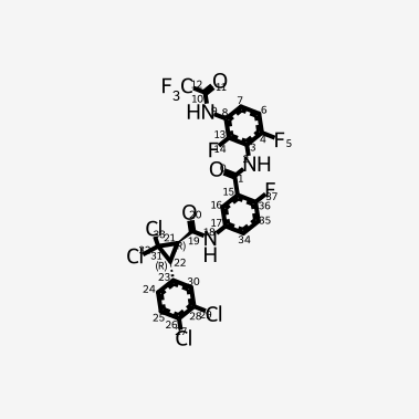 O=C(Nc1c(F)ccc(NC(=O)C(F)(F)F)c1F)c1cc(NC(=O)[C@H]2[C@H](c3ccc(Cl)c(Cl)c3)C2(Cl)Cl)ccc1F